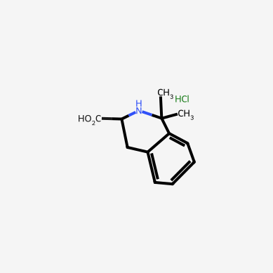 CC1(C)NC(C(=O)O)Cc2ccccc21.Cl